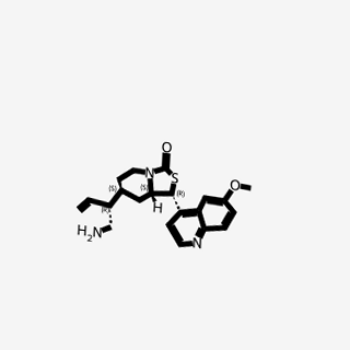 C=C[C@@H](CN)[C@H]1CCN2C(=O)S[C@H](c3ccnc4ccc(OC)cc34)[C@@H]2C1